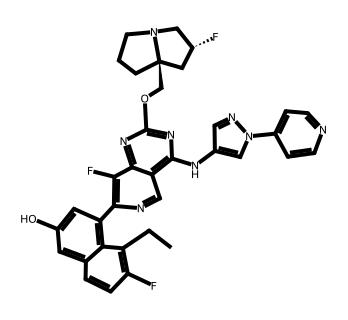 CCc1c(F)ccc2cc(O)cc(-c3ncc4c(Nc5cnn(-c6ccncc6)c5)nc(OC[C@@]56CCCN5C[C@H](F)C6)nc4c3F)c12